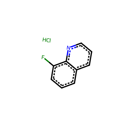 Cl.Fc1cccc2cccnc12